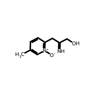 Cc1ccc(CC(=N)CO)[n+]([O-])c1